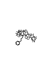 COCC(NC(=O)c1cncnc1)C(=O)N[C@@H](CCCc1ccccc1)B1OC(C)(C)C(C)(C)O1